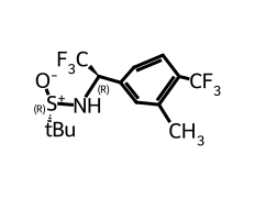 Cc1cc([C@@H](N[S@@+]([O-])C(C)(C)C)C(F)(F)F)ccc1C(F)(F)F